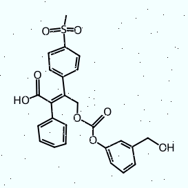 CS(=O)(=O)c1ccc(C(COC(=O)Oc2cccc(CO)c2)=C(C(=O)O)c2ccccc2)cc1